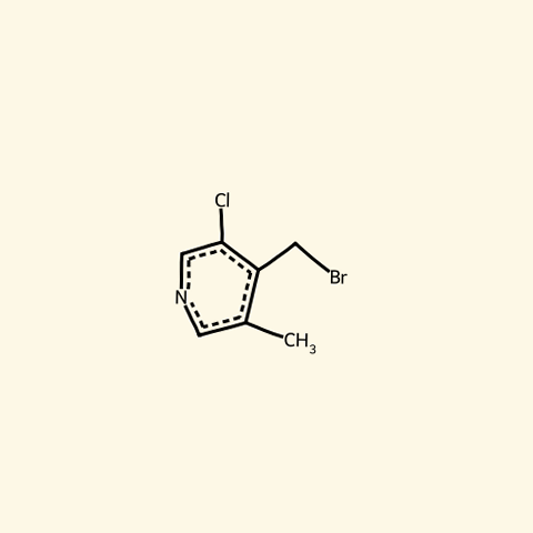 Cc1cncc(Cl)c1CBr